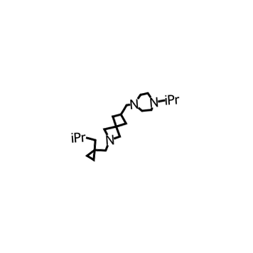 CC(C)CC1(CN2CC3(CC(CN4CCN(C(C)C)CC4)C3)C2)CC1